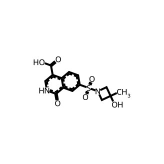 CC1(O)CN(S(=O)(=O)c2ccc3c(C(=O)O)c[nH]c(=O)c3c2)C1